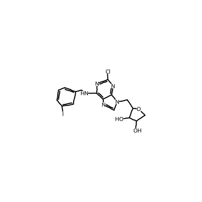 OC1COC(Cn2cnc3c(NCc4cccc(I)c4)nc(Cl)nc32)C1O